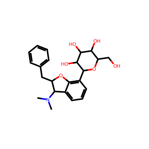 CN(C)C1c2cccc(C3OC(CO)C(O)C(O)C3O)c2OC1Cc1ccccc1